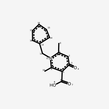 Cc1cc(=O)c(C(=O)O)c(C)n1Cc1ccccc1